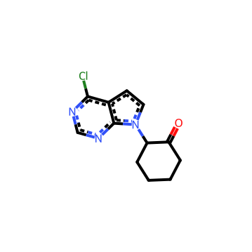 O=C1CCCCC1n1ccc2c(Cl)ncnc21